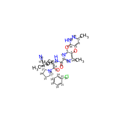 Cc1cc(Oc2cnc(C(=O)NC(C)C(=O)N3[C@H](c4cccc(Cl)c4)CC[C@@H]3C(C)(C)C#N)nc2C)c(=O)[nH]n1